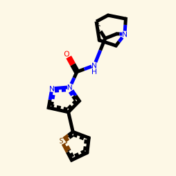 O=C(NC1CC2CCN(CC2)C1)n1cc(-c2cccs2)cn1